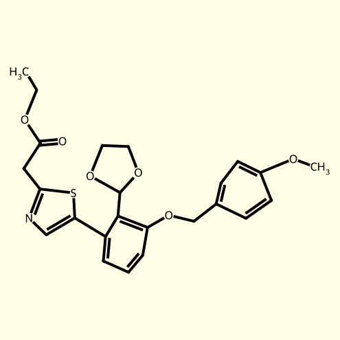 CCOC(=O)Cc1ncc(-c2cccc(OCc3ccc(OC)cc3)c2C2OCCO2)s1